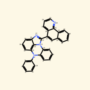 c1ccc(N2c3ccccc3-n3c(-c4cc5ccccc5c5ncccc45)nc4cccc2c43)cc1